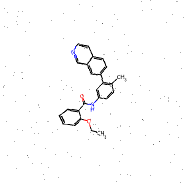 CCOc1ccccc1C(=O)Nc1ccc(C)c(-c2ccc3ccncc3c2)c1